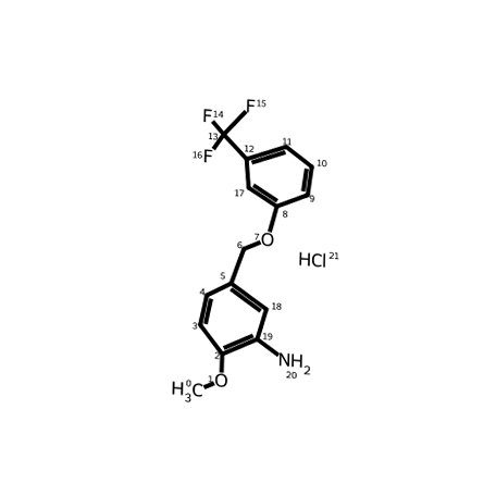 COc1ccc(COc2cccc(C(F)(F)F)c2)cc1N.Cl